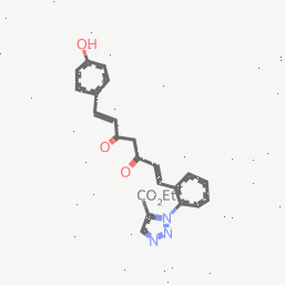 CCOC(=O)c1cnnn1-c1ccccc1C=CC(=O)CC(=O)C=Cc1ccc(O)cc1